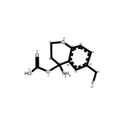 NC1(OC(=O)O)CCOc2ccc(CF)cc21